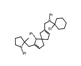 CCC1(N(CC2=CCC3(CC=C(CC4(C)CCCN4C(C)C)N3C(C)C)C2)C(C)C)CCCCC1